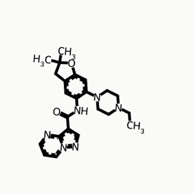 CCN1CCN(c2cc3c(cc2NC(=O)c2cnn4cccnc24)CC(C)(C)O3)CC1